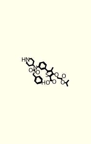 Cc1c(-c2cccc(N(C3CCNCC3)S(=O)(=O)Cc3ccccc3)c2)sc(C(=O)O)c1OCC(=O)OC(C)C